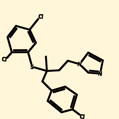 CC(CCn1ccnc1)(Cc1ccc(Cl)cc1)Sc1cc(Cl)ccc1Cl